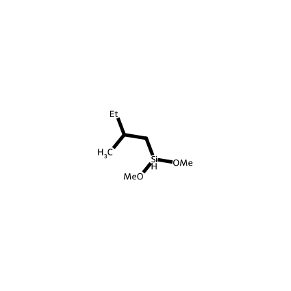 CCC(C)C[SiH](OC)OC